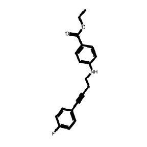 CCOC(=O)c1ccc(NCCC#Cc2ccc(F)cc2)cc1